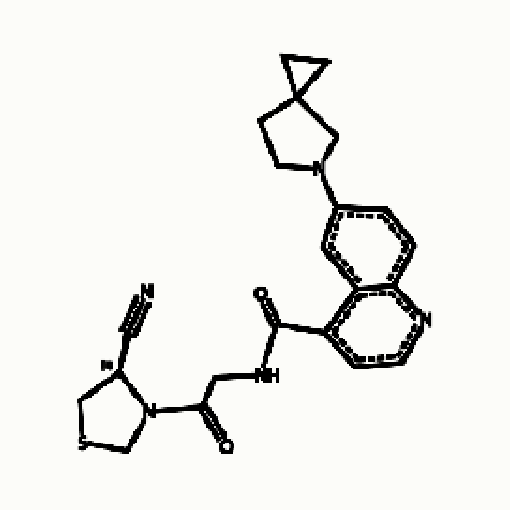 N#C[C@@H]1CSCN1C(=O)CNC(=O)c1ccnc2ccc(N3CCC4(CC4)C3)cc12